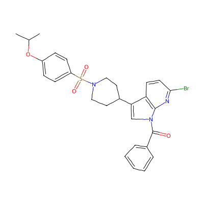 CC(C)Oc1ccc(S(=O)(=O)N2CCC(c3cn(C(=O)c4ccccc4)c4nc(Br)ccc34)CC2)cc1